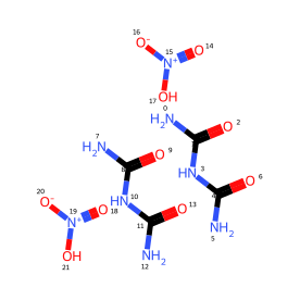 NC(=O)NC(N)=O.NC(=O)NC(N)=O.O=[N+]([O-])O.O=[N+]([O-])O